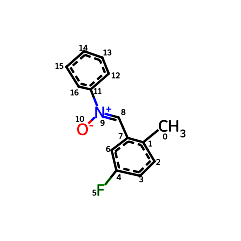 Cc1ccc(F)cc1C=[N+]([O-])c1ccccc1